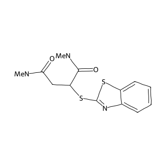 CNC(=O)CC(Sc1nc2ccccc2s1)C(=O)NC